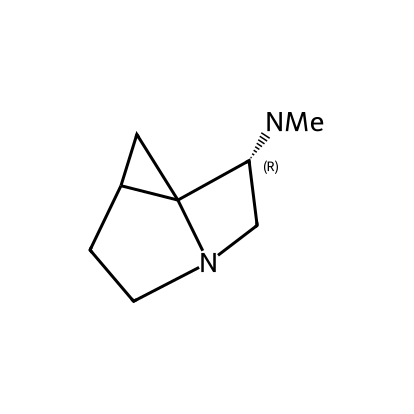 CN[C@@H]1CN2CCC3CC312